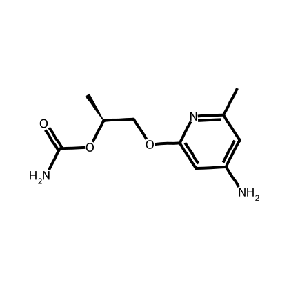 Cc1cc(N)cc(OC[C@H](C)OC(N)=O)n1